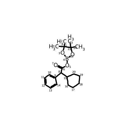 CC1(C)OB(OC(=O)C(c2ccccc2)C2CCCCC2)OC1(C)C